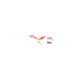 O.O=[PH2]O.[Mn]